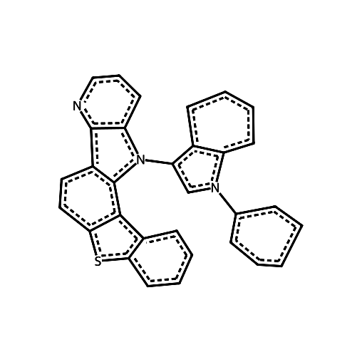 c1ccc(-n2cc(-n3c4cccnc4c4ccc5sc6ccccc6c5c43)c3ccccc32)cc1